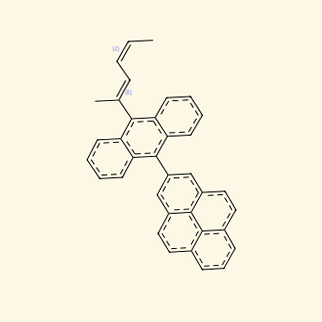 C/C=C\C=C(/C)c1c2ccccc2c(-c2cc3ccc4cccc5ccc(c2)c3c45)c2ccccc12